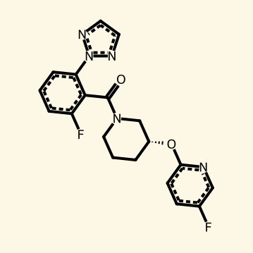 O=C(c1c(F)cccc1-n1nccn1)N1CCC[C@@H](Oc2ccc(F)cn2)C1